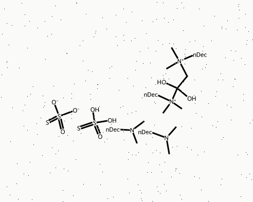 CCCCCCCCCCN(C)C.CCCCCCCCCCN(C)C.CCCCCCCCCC[N+](C)(C)CC(O)(O)[N+](C)(C)CCCCCCCCCC.O=S(O)(O)=S.O=S([O-])([O-])=S